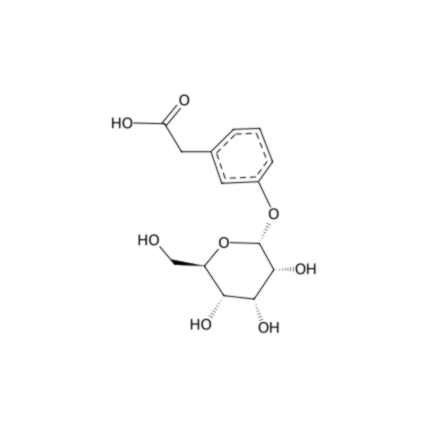 O=C(O)Cc1cccc(O[C@H]2O[C@H](CO)[C@@H](O)[C@@H](O)[C@H]2O)c1